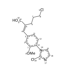 COc1cc(C=C(CCCCl)C(=O)O)ccc1-n1ccnc1Cl